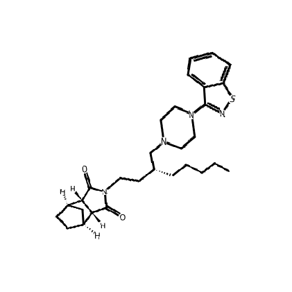 CCCCC[C@H](CCN1C(=O)[C@@H]2[C@H]3CC[C@H](C3)[C@@H]2C1=O)CN1CCN(c2nsc3ccccc23)CC1